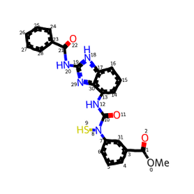 COC(=O)c1cccc(N(S)C(=O)Nc2cccc3[nH]c(NC(=O)c4ccccc4)nc23)c1